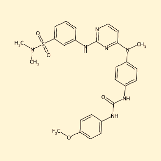 CN(c1ccc(NC(=O)Nc2ccc(OC(F)(F)F)cc2)cc1)c1ccnc(Nc2cccc(S(=O)(=O)N(C)C)c2)n1